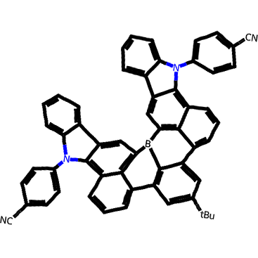 CC(C)(C)c1cc2c3c(c1)-c1cccc4c1c(cc1c5ccccc5n(-c5ccc(C#N)cc5)c41)B3c1cc3c4ccccc4n(-c4ccc(C#N)cc4)c3c3cccc-2c13